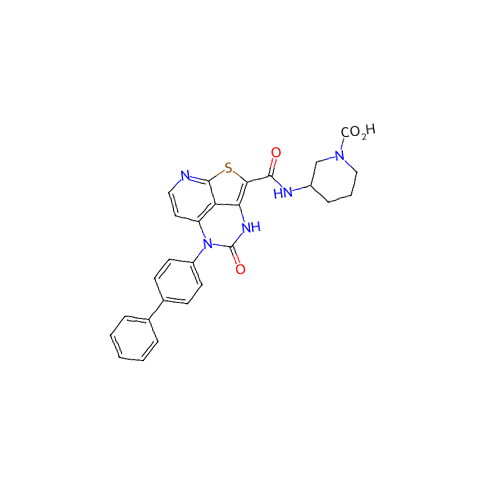 O=C(NC1CCCN(C(=O)O)C1)c1sc2nccc3c2c1NC(=O)N3c1ccc(-c2ccccc2)cc1